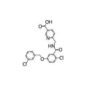 O=C(O)c1ccc(CNC(=O)c2cc(OCc3cccc(Cl)c3)ccc2Cl)nc1